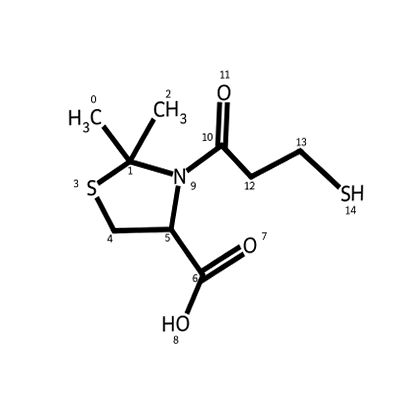 CC1(C)SCC(C(=O)O)N1C(=O)CCS